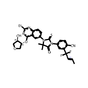 C/C=C/C(F)(F)c1cc(N2C(=O)C(C)(C)N(c3ccc4nc(CC)nc(O[C@@H]5COC[C@H]5O)c4c3)C2=S)ccc1C#N